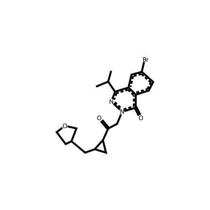 CC(C)c1nn(CC(=O)C2CC2CC2CCOC2)c(=O)c2ccc(Br)cc12